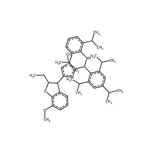 CCC1Oc2c(OC)cccc2C1c1cn(C)c(C(Nc2c(C(C)C)cccc2C(C)C)c2c(C(C)C)cc(C(C)C)cc2C(C)C)n1